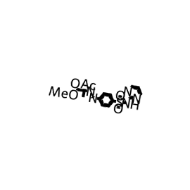 COC(=O)C(C)(/N=N/c1ccc(S(=O)(=O)Nc2ncccn2)cc1)C(C)=O